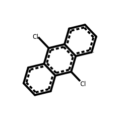 Clc1c2[c]cccc2c(Cl)c2ccccc12